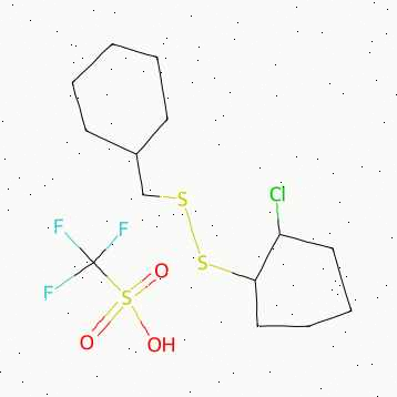 ClC1CCCCC1SSCC1CCCCC1.O=S(=O)(O)C(F)(F)F